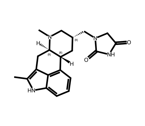 Cc1[nH]c2cccc3c2c1C[C@@H]1[C@@H]3C[C@@H](CN2CC(=O)NC2=O)CN1C